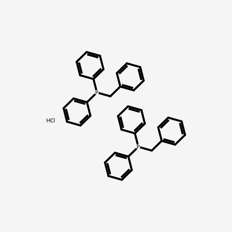 Cl.c1ccc(CP(c2ccccc2)c2ccccc2)cc1.c1ccc(CP(c2ccccc2)c2ccccc2)cc1